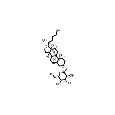 CC(C)CCC[C@@H](C)[C@H]1CC[C@H]2[C@@H]3CC=C4C[C@@H](O[C@@H]5O[C@H](CO)[C@H](O)[C@H](O)[C@H]5O)CC[C@]4(C)[C@H]3CC[C@]12C